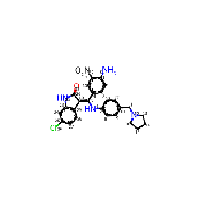 Nc1ccc(/C(Nc2ccc(CN3CCCC3)cc2)=C2\C(=O)Nc3cc(Cl)ccc32)cc1[N+](=O)[O-]